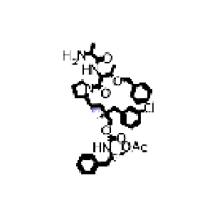 CC(=O)OC[C@H](Cc1ccccc1)NC(=O)OC[C@@](C)(/C=C/C1CCCN1C(=O)C(NC(=O)C(C)N)C(C)OCc1ccccc1)Cc1cccc(Cl)c1